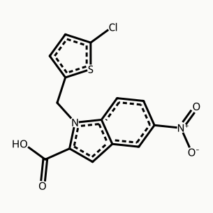 O=C(O)c1cc2cc([N+](=O)[O-])ccc2n1Cc1ccc(Cl)s1